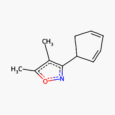 Cc1onc(C2C=CC=CC2)c1C